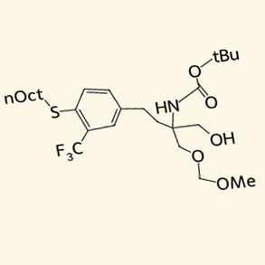 CCCCCCCCSc1ccc(CCC(CO)(COCOC)NC(=O)OC(C)(C)C)cc1C(F)(F)F